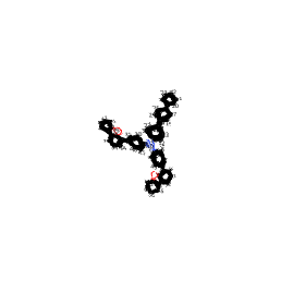 C1=Cc2oc3c(-c4ccc(N(c5ccc(-c6ccc(-c7ccccc7)cc6)cc5)c5ccc(-c6cccc7c6oc6ccccc67)cc5)cc4)cccc3c2CC1